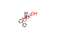 CC(C)(O)C(C)(C)OBc1cc2cccc(-c3ccccc3)c2o1